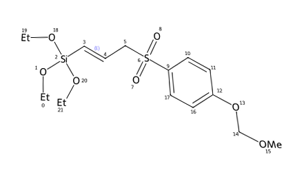 CCO[Si](/C=C/CS(=O)(=O)c1ccc(OCOC)cc1)(OCC)OCC